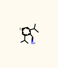 CC(C)c1cccc(C(C)C)c1C=N.[Co]